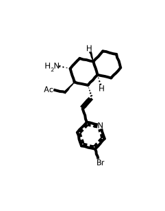 CC(=O)C[C@@H]1[C@@H](/C=C/c2ccc(Br)cn2)[C@@H]2CCCC[C@H]2C[C@H]1N